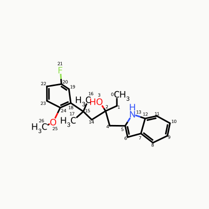 CCC(O)(Cc1cc2ccccc2[nH]1)CC(C)(C)c1cc(F)ccc1OC